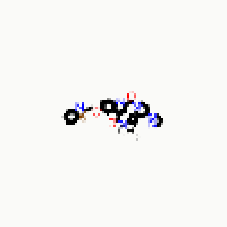 CN(C(=O)c1cc(C(=O)N2CCC(n3cccn3)CC2)nc2ccc(OCc3nc4ccccc4s3)cc12)C1CCC1